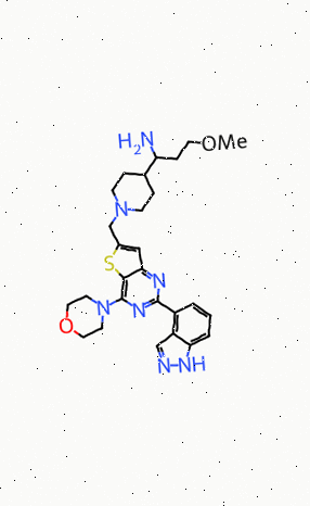 COCCC(N)C1CCN(Cc2cc3nc(-c4cccc5[nH]ncc45)nc(N4CCOCC4)c3s2)CC1